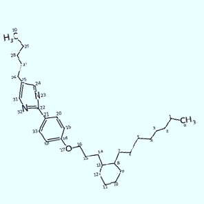 CCCCCCCCC1CCCCC1CCCOc1ccc(-c2ncc(CCCCC)cn2)cc1